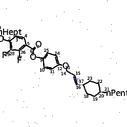 CCCCCCCOc1ccc(C(=O)Oc2ccc(OC/C=C/[C@H]3CC[C@H](CCCCC)CC3)cc2)c(F)c1F